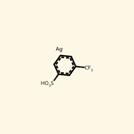 O=S(=O)(O)c1cccc(C(F)(F)F)c1.[Ag]